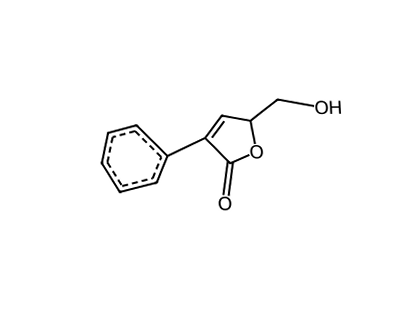 O=C1OC(CO)C=C1c1ccccc1